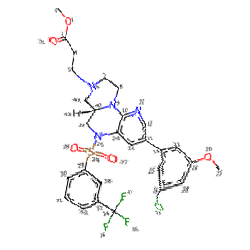 COC(=O)CCN1CCN2c3ncc(-c4cc(Cl)cc(OC)c4)cc3N(S(=O)(=O)c3cccc(C(F)(F)F)c3)C[C@@H]2C1